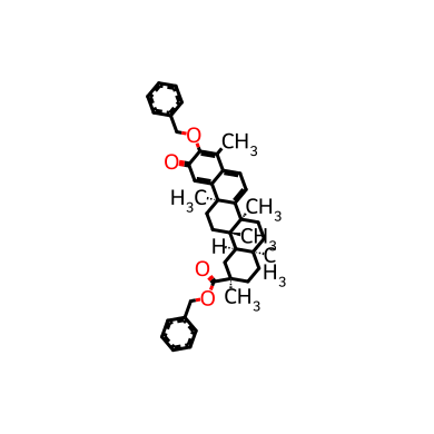 CC1=C(OCc2ccccc2)C(=O)C=C2C1=CC=C1[C@@]2(C)CC[C@@]2(C)[C@@H]3C[C@](C)(C(=O)OCc4ccccc4)CC[C@]3(C)CC[C@]12C